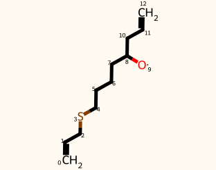 C=CCSCCCCC([O])CC=C